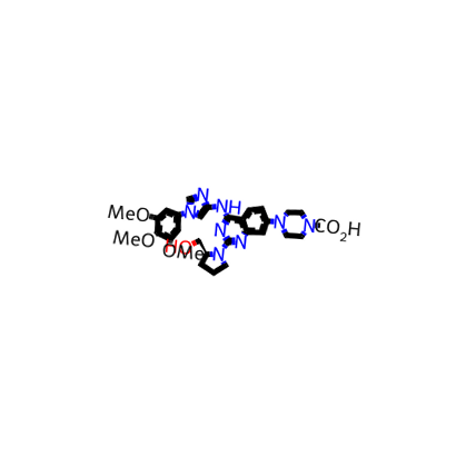 COc1cc(-n2cnc(Nc3nc(N4CCC[C@H]4CO)nc4cc(N5CCN(C(=O)O)CC5)ccc34)c2)cc(OC)c1OC